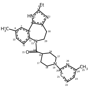 CCc1nc2c([nH]1)-c1cc(C)ccc1N(C(=O)C1CCN(c3cccc(C)n3)CC1)CC2